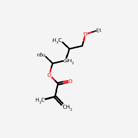 C=C(C)C(=O)OC(CCCC)[SiH2]C(C)COCC